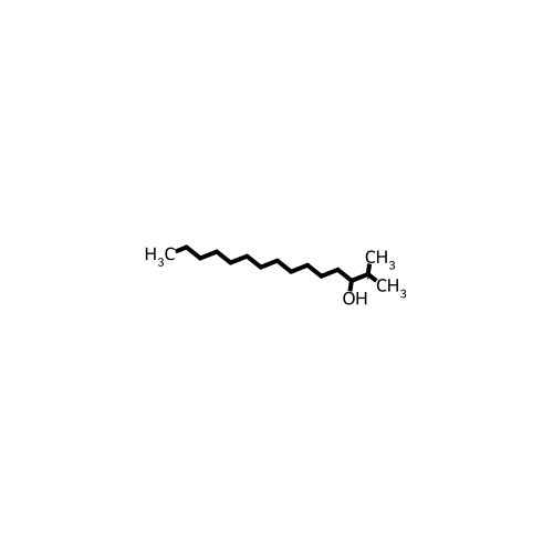 CCCCCCCCCCCCC(O)[C](C)C